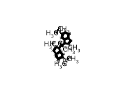 CC1=Cc2ccc(N(C)C)cc2C1C(C)(C)C1C(C)=Cc2ccc(N(C)C)cc21